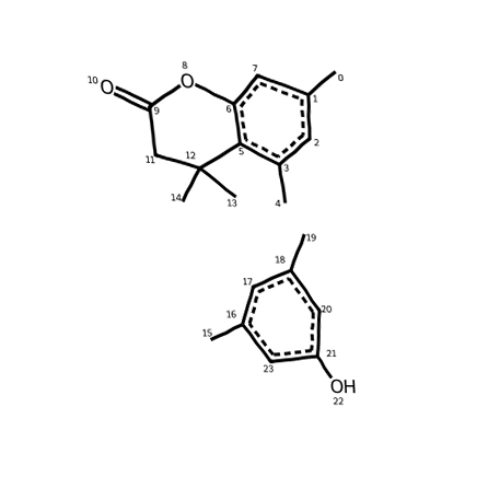 Cc1cc(C)c2c(c1)OC(=O)CC2(C)C.Cc1cc(C)cc(O)c1